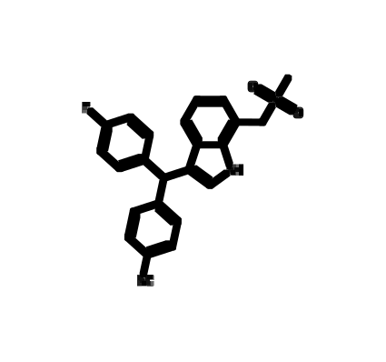 [C-]#[N+]c1ccc(C(c2ccc(F)cc2)c2c[nH]c3c(CS(C)(=O)=O)cccc23)cc1